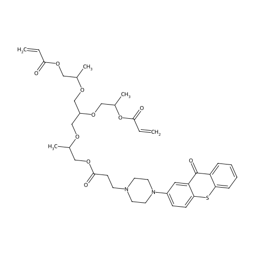 C=CC(=O)OCC(C)OCC(COC(C)COC(=O)CCN1CCN(c2ccc3sc4ccccc4c(=O)c3c2)CC1)OCC(C)OC(=O)C=C